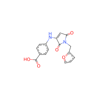 O=C(O)c1ccc(NC2=CC(=O)N(Cc3ccco3)C2=O)cc1